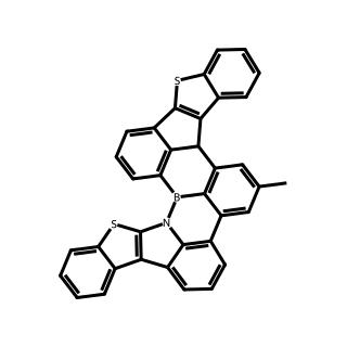 Cc1cc2c3c(c1)C1c4c(cccc4-c4sc5ccccc5c41)B3n1c3sc4ccccc4c3c3cccc-2c31